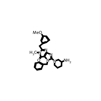 COc1cccc(Cc2nc3nc(N4CCCC(N)C4)n(Cc4ccccc4)c3c(=O)n2C)c1